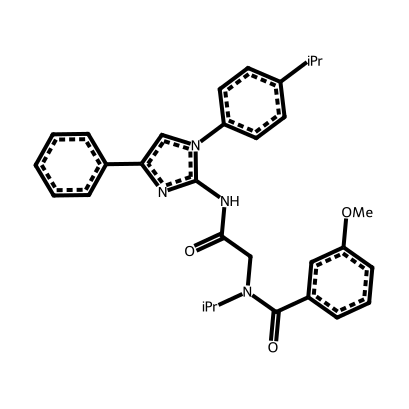 COc1cccc(C(=O)N(CC(=O)Nc2nc(-c3ccccc3)cn2-c2ccc(C(C)C)cc2)C(C)C)c1